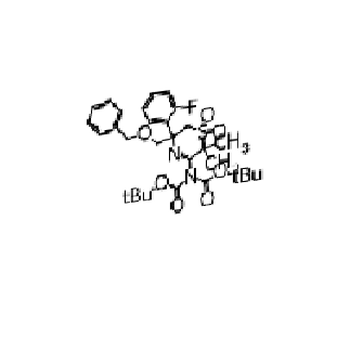 CC(C)(C)OC(=O)N(C(=O)OC(C)(C)C)C1=NC(COCc2ccccc2)(c2ccccc2F)CS(=O)(=O)C1(C)C